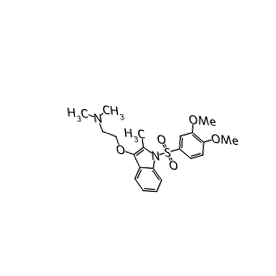 COc1ccc(S(=O)(=O)n2c(C)c(OCCN(C)C)c3ccccc32)cc1OC